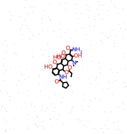 CCC(=O)OC1C2C(=C(O)C3(O)C(=O)C(C(N)=O)=C(O)C(N(C)C)C13)C(=O)c1c(O)ccc(NC(=O)C3CCCC3)c1C2C